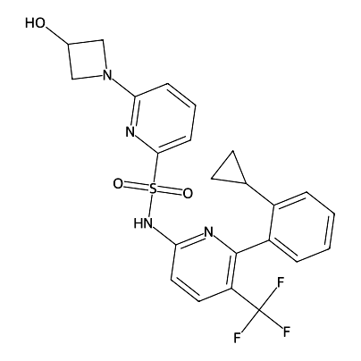 O=S(=O)(Nc1ccc(C(F)(F)F)c(-c2ccccc2C2CC2)n1)c1cccc(N2CC(O)C2)n1